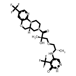 C[C@@H](COC[C@](C)(O)C(=O)N1CCN2c3ncc(C(F)(F)F)cc3OC[C@H]2C1)Nc1cn[nH]c(=O)c1C(F)(F)F